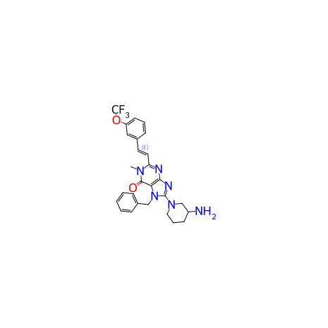 Cn1c(/C=C/c2cccc(OC(F)(F)F)c2)nc2nc(N3CCCC(N)C3)n(Cc3ccccc3)c2c1=O